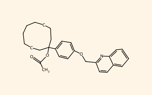 CC(=O)OC1(c2ccc(OCc3ccc4ccccc4n3)cc2)CCCCCCCCC1